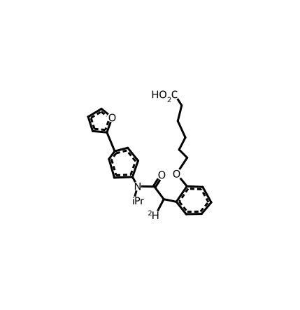 [2H]C(C(=O)N(c1ccc(-c2ccco2)cc1)C(C)C)c1ccccc1OCCCCCC(=O)O